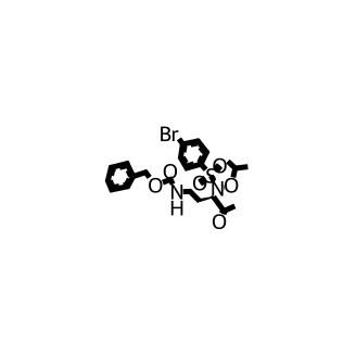 CC(=O)[C@@H](CCNC(=O)OCc1ccccc1)N(OC(C)C)S(=O)(=O)c1ccc(Br)cc1